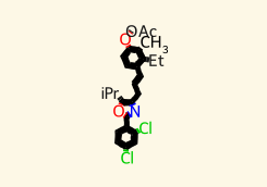 CCc1c(C=CCc2nc(-c3ccc(Cl)cc3Cl)oc2C(C)C)ccc(OOC(C)=O)c1C